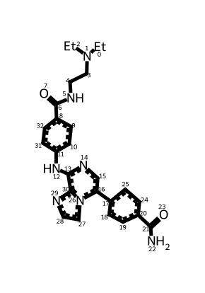 CCN(CC)CCNC(=O)c1ccc(Nc2ncc(-c3ccc(C(N)=O)cc3)n3ccnc23)cc1